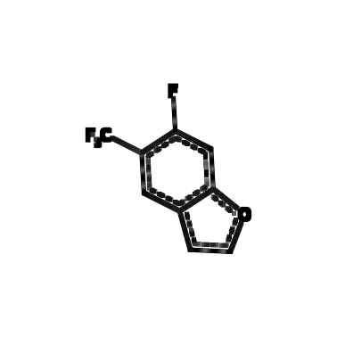 Fc1cc2occc2cc1C(F)(F)F